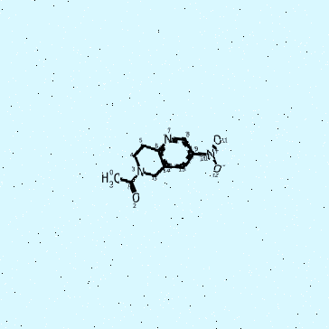 CC(=O)N1CCc2ncc([N+](=O)[O-])cc2C1